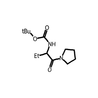 CCC(NC(=O)OC(C)(C)C)C(=O)N1CCCC1